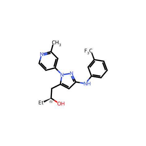 CC[C@H](O)Cc1cc(Nc2cccc(C(F)(F)F)c2)nn1-c1ccnc(C)c1